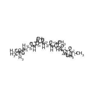 CCCNC(=O)c1cc(NC(=O)c2cc(NC(=O)CCNC(=O)c3cc(NC(=O)CCCNC(=O)OC(C)(C)C)cn3C)cn2C)cn1C